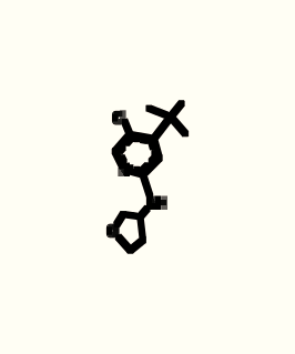 CC(C)(C)c1cc(NC2CCOC2)ncc1Cl